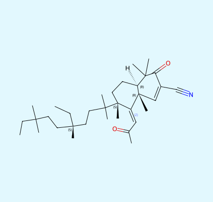 CCC(C)(C)CC[C@](C)(CC)CCC(C)(C)[C@]1(C)CC[C@H]2C(C)(C)C(=O)C(C#N)=C[C@]2(C)/C1=C/C(C)=O